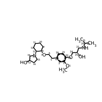 COc1cc(CCO[C@@H]2CCCC[C@@H]2N2CCC(O)C2)ccc1OC[C@H](O)CNC(C)C